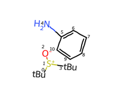 CC(C)(C)[S+]([O-])C(C)(C)C.Nc1ccccc1